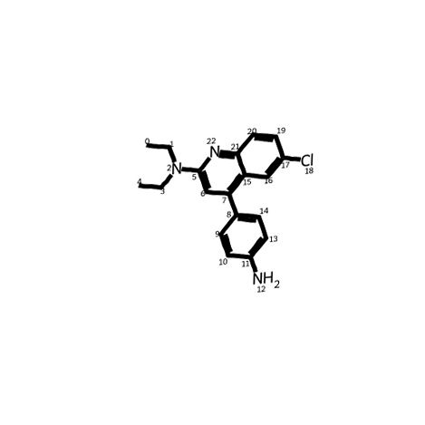 CCN(CC)c1cc(-c2ccc(N)cc2)c2cc(Cl)ccc2n1